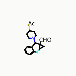 CC(=O)SC1CCN(C(c2ccccc2F)C2(C=O)CC2)CC1